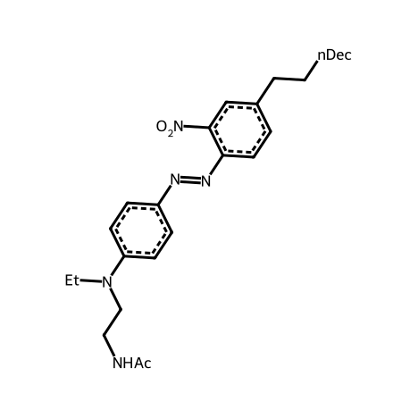 CCCCCCCCCCCCc1ccc(N=Nc2ccc(N(CC)CCNC(C)=O)cc2)c([N+](=O)[O-])c1